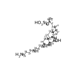 CC(C)[C@@H](CC[C@@H](C)[C@H]1CCC2[C@H]3C(CC[C@@]21C)[C@@]1(C)CC[C@H](NCCCNCCCCN)C[C@@H]1C[C@H]3O)OS(=O)(=O)O